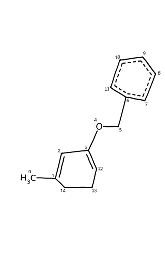 CC1=CC(OCc2ccccc2)=CCC1